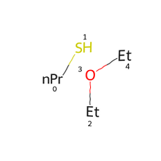 CCCS.CCOCC